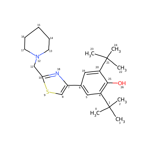 CC(C)(C)c1cc(-c2csc(CN3CCCCC3)n2)cc(C(C)(C)C)c1O